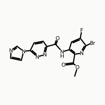 COC(=O)c1nc(Br)c(F)cc1NC(=O)c1ccc(-n2ccnc2)nn1